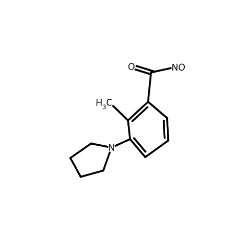 Cc1c(C(=O)N=O)cccc1N1CCCC1